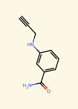 C#CCNc1cccc(C(N)=O)c1